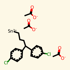 CC(=O)[O-].CC(=O)[O-].CC(=O)[O-].Clc1ccc(C(CC[CH2][Sn+3])c2ccc(Cl)cc2)cc1